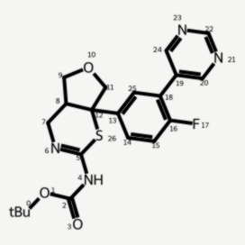 CC(C)(C)OC(=O)NC1=NCC2COCC2(c2ccc(F)c(-c3cncnc3)c2)S1